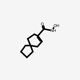 O=C(NO)C1=CCC2(CCCC2)CC1